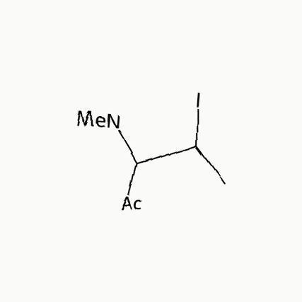 CNC(C(C)=O)C(C)I